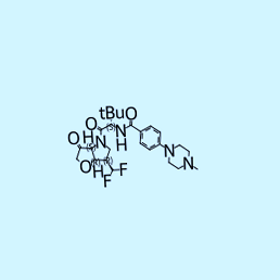 CN1CCN(c2ccc(C(=O)N[C@H](C(=O)N3C[C@@H](C(F)F)[C@H]4OCC(=O)[C@H]43)C(C)(C)C)cc2)CC1